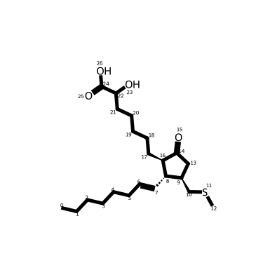 CCCCCCC=C[C@H]1[C@H](CSC)CC(=O)[C@@H]1CCCCCC(O)C(=O)O